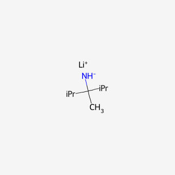 CC(C)C(C)([NH-])C(C)C.[Li+]